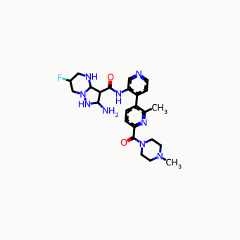 Cc1nc(C(=O)N2CCN(C)CC2)ccc1-c1ccncc1NC(=O)C1C(N)NN2CC(F)CNC12